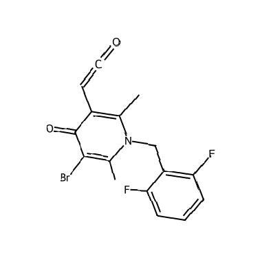 Cc1c(Br)c(=O)c(C=C=O)c(C)n1Cc1c(F)cccc1F